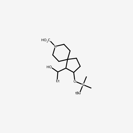 CCC(O)C1C(O[Si](C)(C)C(C)(C)C)CCC12CCN(C(=O)O)CC2